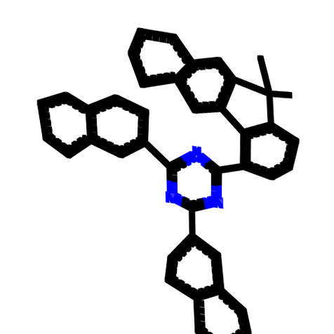 CC1(C)c2cc3ccccc3cc2-c2c(-c3nc(-c4ccc5ccccc5c4)nc(-c4ccc5ccccc5c4)n3)cccc21